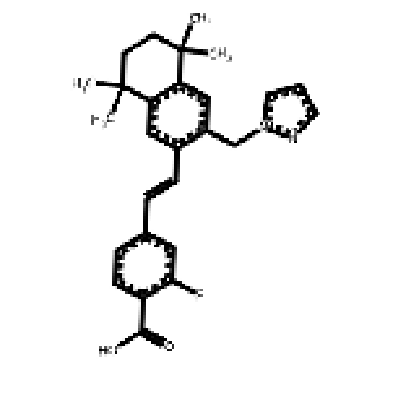 CC1(C)CCC(C)(C)c2cc(Cn3cccn3)c(C=Cc3ccc(C(=O)O)c(F)c3)cc21